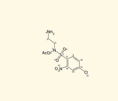 CC(=O)ON(CCN)S(=O)(=O)c1ccc(Cl)cc1[N+](=O)[O-]